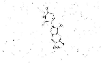 CC(=O)Nc1cc2c(cc1F)C(=O)N(C1CCC(=O)NC1=O)C2